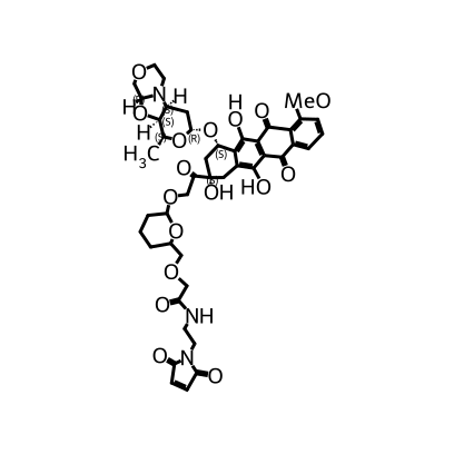 COc1cccc2c1C(=O)c1c(O)c3c(c(O)c1C2=O)C[C@@](O)(C(=O)COC1CCCC(COCC(=O)NCCN2C(=O)C=CC2=O)O1)C[C@@H]3O[C@H]1C[C@H]2[C@H](O[C@@H]3COCCN32)[C@H](C)O1